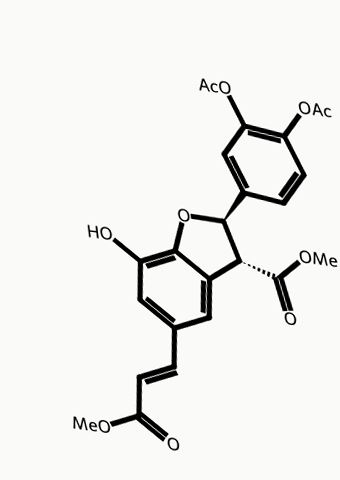 COC(=O)/C=C/c1cc(O)c2c(c1)[C@@H](C(=O)OC)[C@H](c1ccc(OC(C)=O)c(OC(C)=O)c1)O2